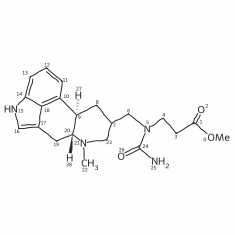 COC(=O)CCN(CC1C[C@@H]2c3cccc4[nH]cc(c34)C[C@H]2N(C)C1)C(N)=O